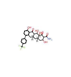 NC(=O)C1C(=O)[C@@]2(O)C(O)C3C(=O)c4c(O)ccc(-c5ccc(C(F)(F)F)cc5)c4C[C@H]3C[C@H]2CC1O